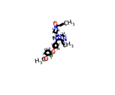 CC#CC(=O)N1CC[C@@H](c2nc(-c3ccc(Oc4cccc(OC)c4F)cc3)c3c(CC)nccn23)C1